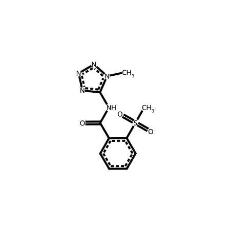 Cn1nnnc1NC(=O)c1ccccc1S(C)(=O)=O